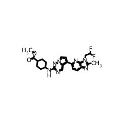 COC(=O)C1CCC(Nc2ncc3c(-c4ccc5nc(C)n(CC(F)F)c5n4)ccn3n2)CC1